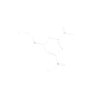 COC(=O)c1cc(C(C)=O)nc(C(C)=O)c1